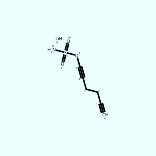 C#CCCC#COS(N)(=O)=O.[LiH]